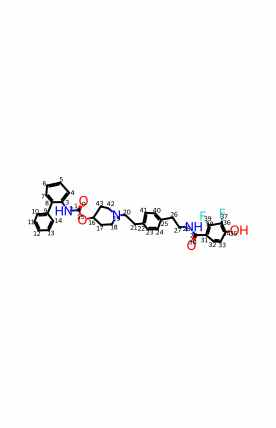 O=C(Nc1ccccc1-c1ccccc1)OC1CCN(CCc2ccc(CCNC(=O)c3ccc(O)c(F)c3F)cc2)CC1